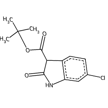 CC(C)(C)OC(=O)C1C(=O)Nc2cc(Cl)ccc21